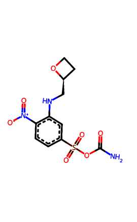 NC(=O)OS(=O)(=O)c1ccc([N+](=O)[O-])c(NC[C@@H]2CCO2)c1